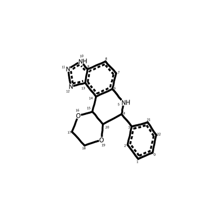 c1ccc(C2Nc3ccc4[nH]nnc4c3C3OCCOC23)cc1